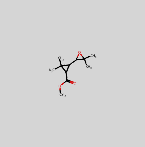 COC(=O)C1C(C2OC2(C)C)C1(C)C